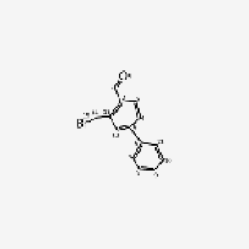 O=Cc1ccc(-c2ccccc2)cc1CBr